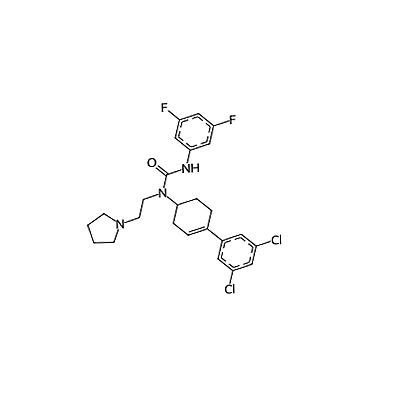 O=C(Nc1cc(F)cc(F)c1)N(CCN1CCCC1)C1CC=C(c2cc(Cl)cc(Cl)c2)CC1